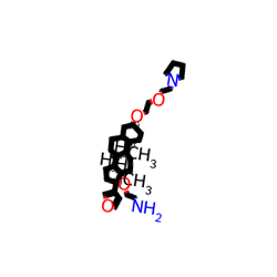 C[C@]12CC[C@H](OCCOCCN3CCCC3)CC1CC[C@@H]1[C@@H]2CC[C@@]2(C)[C@H]1CC[C@@]2(OCCN)c1ccoc1